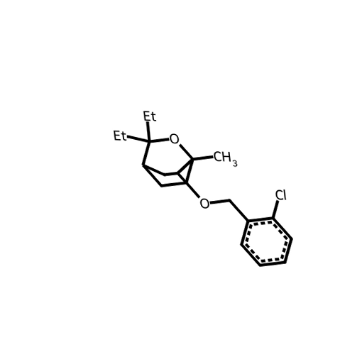 CCC1(CC)OC2(C)CCC1CC2OCc1ccccc1Cl